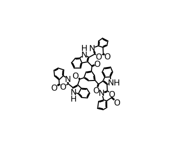 O=C(c1cc(C(=O)c2c(-c3nc4ccccc4c(=O)o3)[nH]c3ccccc23)cc(C(=O)c2c(-c3nc4ccccc4c(=O)o3)[nH]c3ccccc23)c1)c1c(-c2nc3ccccc3c(=O)o2)[nH]c2ccccc12